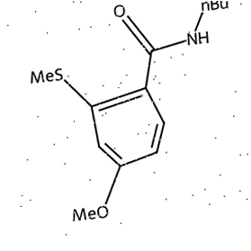 CCCCNC(=O)c1ccc(OC)cc1SC